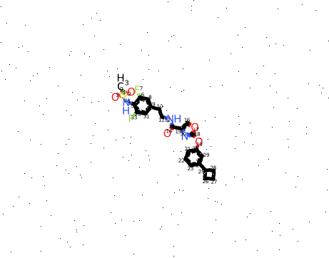 CS(=O)(=O)Nc1c(F)cc(CCNC(=O)c2coc(Oc3cccc(C4CCC4)c3)n2)cc1F